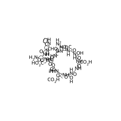 CC(C)C1NC(=O)C(C(C)CC(=O)O)NC(=O)C(CO)NC(=O)CNC(=O)C(CC(=O)O)NC(=O)C(CO)NC(=O)C(CC(=O)O)NC(=O)C(CCCN)NC(=O)CNC(=O)C(NC(=O)C(CC(=O)O)NC(=O)C(CC(N)=O)NC(=O)C(Cc2c[nH]c3ccccc23)NC=O)C(C)OC1=O